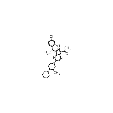 CC(=O)c1nn([C@H](C)c2ccc(Cl)cc2Cl)c2nc(N3CCC(N4CCCCC4)C(C)C3)cnc12